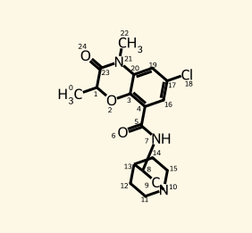 CC1Oc2c(C(=O)NC3CN4CCC3CC4)cc(Cl)cc2N(C)C1=O